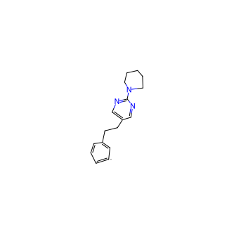 [c]1cccc(CCc2cnc(N3CCCCC3)nc2)c1